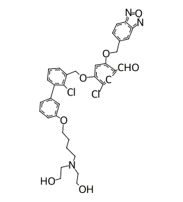 O=Cc1cc(Cl)c(OCc2cccc(-c3cccc(OCCCCN(CCO)CCO)c3)c2Cl)cc1OCc1ccc2nonc2c1